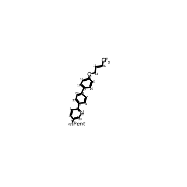 CCCCCc1ccc(-c2ccc(-c3ccc(OCC=CC(F)(F)F)cc3)cc2)nc1